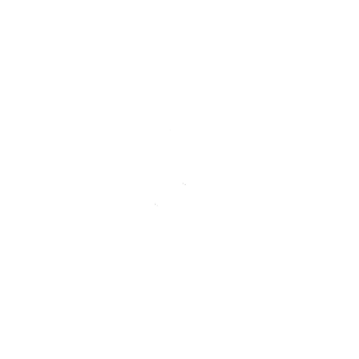 [CH2]C#Cc1cnc2ccccc2n1